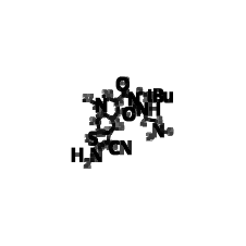 CN(C)CCNC(=O)N(CC(C)(C)C)C(=O)C1CC2Cc3c(sc(N)c3C#N)CC2N(C)C1